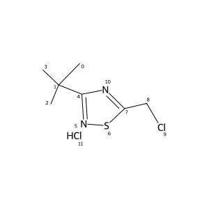 CC(C)(C)c1nsc(CCl)n1.Cl